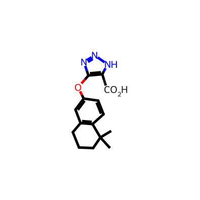 CC1(C)CCCc2cc(Oc3nn[nH]c3C(=O)O)ccc21